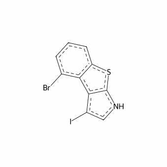 Brc1cccc2sc3[nH]cc(I)c3c12